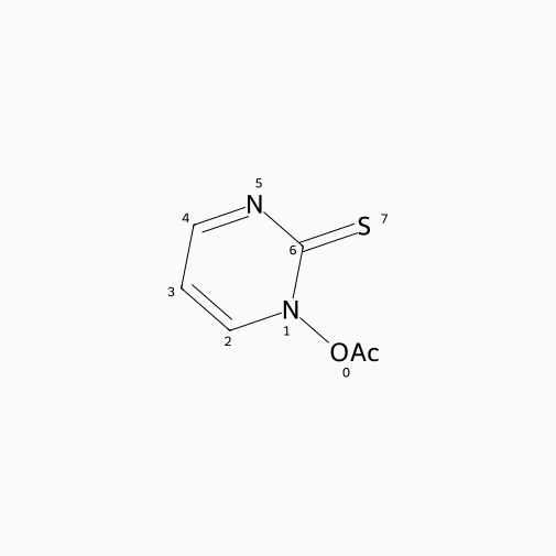 CC(=O)On1cccnc1=S